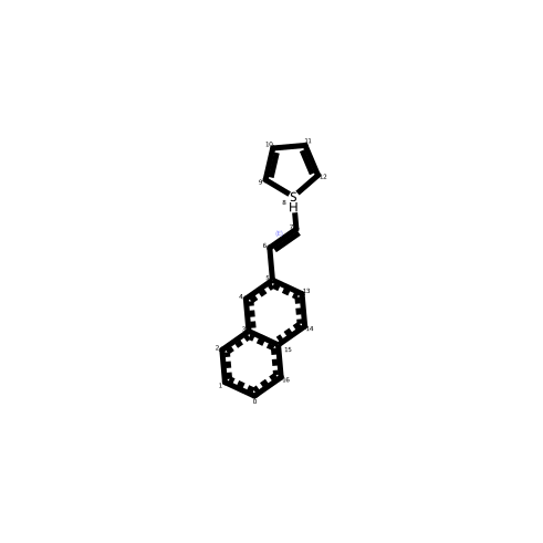 [c]1ccc2cc(/C=C/[SH]3C=CC=C3)ccc2c1